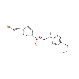 CC(C)Cc1ccc(C(C)COC(=O)c2ccc(/C=C/Br)cc2)cc1